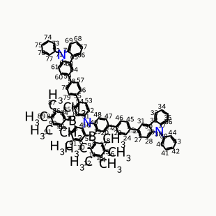 Cc1cc2c3c(c1)B(c1c(C)c(C)c(C)c(C)c1C)c1cc(-c4ccc(-c5ccc6c(c5)c5ccccc5n6-c5ccccc5)cc4)ccc1N3c1ccc(-c3ccc(-c4ccc5c(c4)c4ccccc4n5-c4ccccc4)cc3)cc1B2c1c(C)c(C)c(C)c(C)c1C